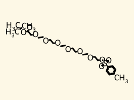 Cc1ccc(S(=O)(=O)OCCOCCOCCOCCOCCOCCOCC(=O)OC(C)(C)C)cc1